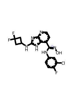 O/N=C(\Nc1ccc(F)c(Cl)c1)c1ccnc2nc(NC3CC(F)(F)C3)[nH]c12